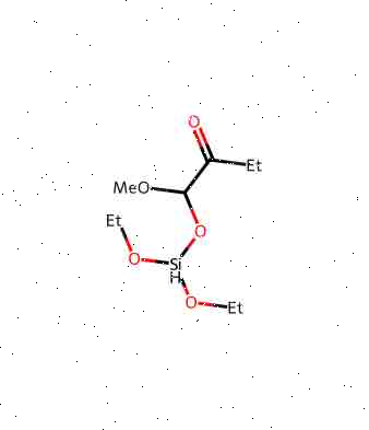 CCO[SiH](OCC)OC(OC)C(=O)CC